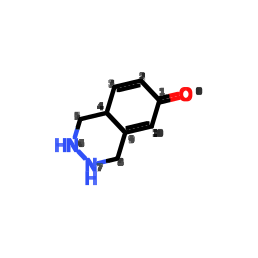 O=C1C=CC2CNNCC2=C1